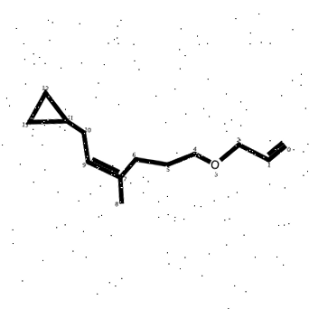 C=CCOCCCC(C)=CCC1CC1